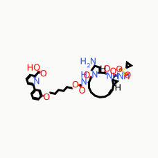 N[C@@H]1C[C@H]2C(=O)N[C@]3(C(=O)NS(=O)(=O)C4CC4)C[C@H]3/C=C\CCCCC[C@H](NC(=O)OCCCCCCOc3cccc(-c4cccc(C(=O)O)n4)c3)C(=O)N2C1